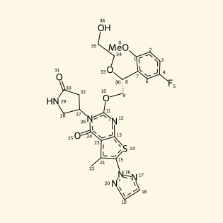 COc1ccc(F)cc1[C@H](COc1nc2sc(-n3nccn3)c(C)c2c(=O)n1C1CNC(=O)C1)OCCO